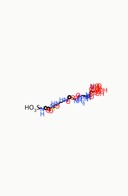 NCOC1CC(C2N=C(C#CCNC(=O)COC(N)COc3cccc(C(=O)NCCCCCNC(=O)Cc4csc(-c5cc6ccc(NCCS(=O)(=O)O)cc6oc5=O)n4)c3)C(N)=NC2=O)OC1COP(=O)(O)OP(=O)(O)OP(=O)(O)O